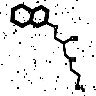 NCCNCC(O)COc1ccc2ccccc2c1